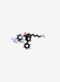 CCCCCC1C2CC3(C(=O)N4CC[C@H](N)C(C)(C)C4)CC1CC(c1ccccc1)(C2)C3